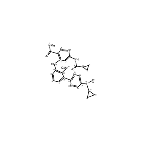 CNC(=O)c1nnc(NC(=O)C2CC2)cc1Nc1cccc(-c2ncc([S+]([O-])C3CC3)cn2)c1OC